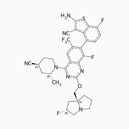 C[C@@H]1C[C@@H](C#N)CCN1c1nc(OC[C@@]23CCCN2C[C@H](F)C3)nc2c(F)c(-c3ccc(F)c4sc(N)c(C#N)c34)c(C(F)(F)F)cc12